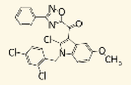 COc1ccc2c(c1)c(C(=O)c1nc(-c3ccccc3)no1)c(Cl)n2Cc1ccc(Cl)cc1Cl